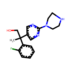 CC(CO)(c1cnc(N2CCNCC2)nc1)c1ccccc1F